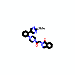 COc1ncc(-c2ccccc2N2CCN(C(=O)Cn3ncc4ccccc4c3=O)CC2)cn1